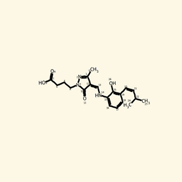 CC1=NN(CCCC(=O)O)C(=O)/C1=C\Nc1cccc(/C=C\C(C)C)c1O